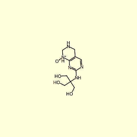 [O-][NH+]1CNCc2cnc(NC(CO)(CO)CO)nc21